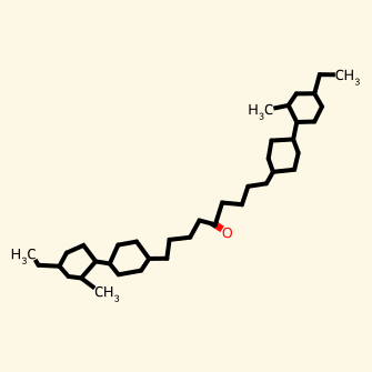 CCC1CCC(C2CCC(CCCCC(=O)CCCCC3CCC(C4CCC(CC)CC4C)CC3)CC2)C(C)C1